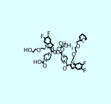 CC(C)(C)OC(=O)N1CCN(C(=O)c2cc3cc(F)c(F)cc3n2CCOCCOCc2ccccc2)CC1.O=C(O)N1CCN(C(=O)c2cc3cc(F)c(F)cc3n2CCOCCO)CC1